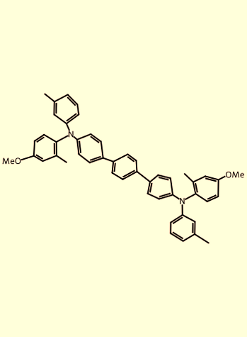 COc1ccc(N(c2ccc(-c3ccc(-c4ccc(N(c5cccc(C)c5)c5ccc(OC)cc5C)cc4)cc3)cc2)c2cccc(C)c2)c(C)c1